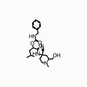 CC(C)CC(OC(=O)NCc1ccccc1)C(=O)NC1(C#N)CCN(C)C(CO)C1